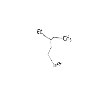 [CH2]CCCC(C)CC